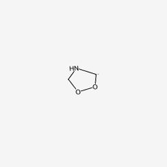 [CH]1NCOO1